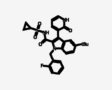 CC(C)(C)c1ccc2c(c1)c(-c1ccc[nH]c1=O)c(C(=O)NS(=O)(=O)C1CC1)n2Cc1ccccc1F